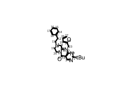 CC(C)(C)c1ncc(C(=O)N2CCN(CCc3ccccc3)CC2)c(NCc2ccco2)n1